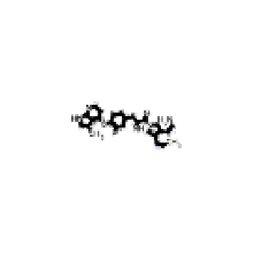 C/C=C\C1=C(/C=C\N)CN(C(=O)C(N)Cc2ccc(Oc3ccnc4[nH]cc(C)c34)c(F)c2)C1